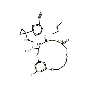 C#Cc1cccc(C2(NC[C@@H](O)[C@@H]3Cc4cc(F)cc(c4)OCCCCCC(=O)N[C@@H](CCSC)C(=O)N3)CC2)c1